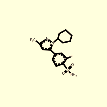 NS(=O)(=O)c1ccc(-c2cc(C(F)(F)F)nn2C2CCCCC2)cc1F